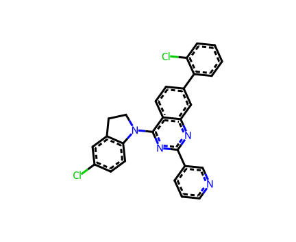 Clc1ccc2c(c1)CCN2c1nc(-c2cccnc2)nc2cc(-c3ccccc3Cl)ccc12